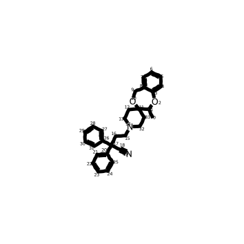 CC1Oc2ccccc2COC12CCN(CCC(C#N)(c1ccccc1)c1ccccc1)CC2